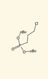 CCCCOP(=O)(CCCCl)OCCCC